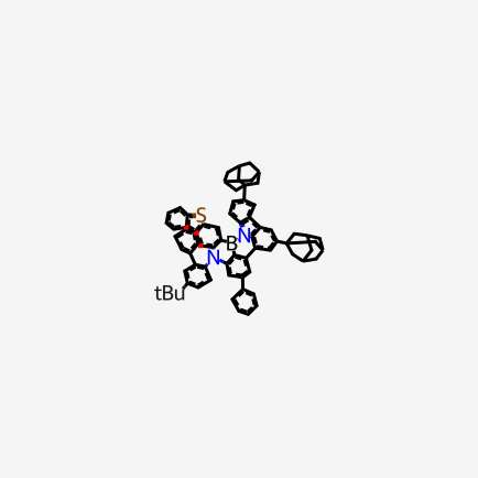 CC(C)(C)c1ccc(N2c3cc4c(cc3B3c5c(cc(-c6ccccc6)cc52)-c2cc(C56CC7CC(CC(C7)C5)C6)cc5c6cc(C78CC9CC(CC(C9)C7)C8)ccc6n3c25)sc2ccccc24)c(-c2ccccc2)c1